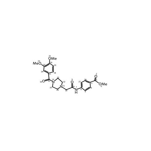 COC(=O)c1ccc(NC(=O)CN2CCN(C(=O)c3ccc(OC)c(OC)c3)CC2)cc1